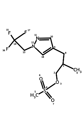 CC(COS(C)(=O)=O)Cc1cnn(CC(F)(F)F)c1